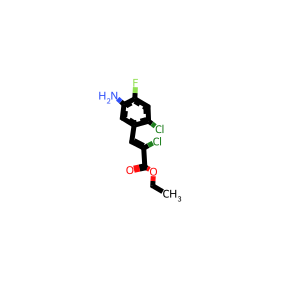 CCOC(=O)/C(Cl)=C/c1cc(N)c(F)cc1Cl